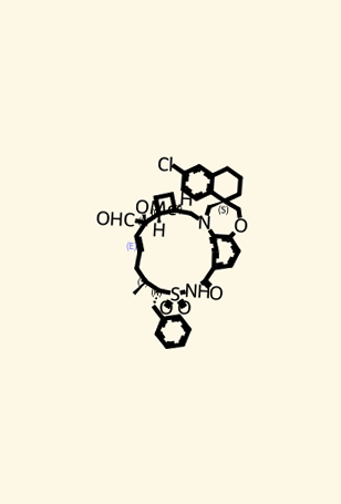 CO[C@]1(C=O)/C=C/C[C@H](C)[C@@H](Cc2ccccc2)S(=O)(=O)NC(=O)c2ccc3c(c2)N(C[C@@H]2CC[C@H]21)C[C@@]1(CCCc2cc(Cl)ccc21)CO3